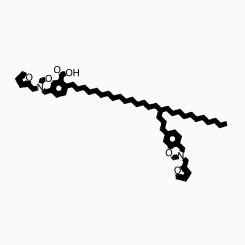 CCCCCCCCCCCC(CCCCCCCCCCCCCCCc1ccc2c(c1C(=O)O)OCN(Cc1ccco1)C2)CCCc1ccc2c(c1)OCN(Cc1ccco1)C2